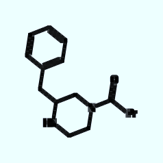 CC(C)C(=O)N1CCNC(Cc2ccccc2)C1